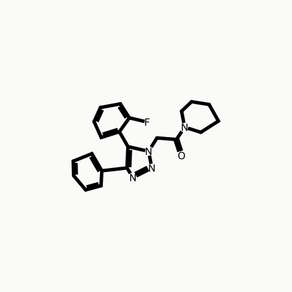 O=C(Cn1nnc(-c2ccccc2)c1-c1ccccc1F)N1CCCCC1